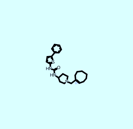 O=C(Nc1ccc(-c2ccccc2)s1)NC1CCN(C/C2=C/CCCCCC2)CC1